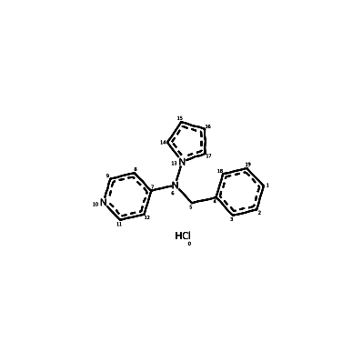 Cl.c1ccc(CN(c2ccncc2)n2cccc2)cc1